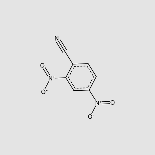 N#Cc1ccc([N+](=O)[O-])cc1[N+](=O)[O-]